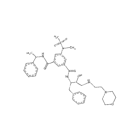 CC(NC(=O)c1cc(C(=O)NC(Cc2ccccc2)C(O)CNCCN2CCOCC2)cc(N(C)S(C)(=O)=O)c1)c1ccccc1